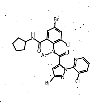 CC(=O)N(C(=O)c1cc(Br)nn1-c1ncccc1Cl)c1c(Cl)cc(Br)cc1C(=O)NC1CCCC1